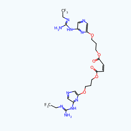 NC(=NCC(F)(F)F)Nc1cncc(OCCCOC(=O)/C=C\C(=O)OCCCOc2cncc(NC(N)=NCC(F)(F)F)n2)n1